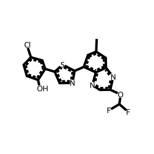 Cc1cc(-c2ncc(-c3cc(Cl)ccc3O)s2)c2ncc(OC(F)F)nc2c1